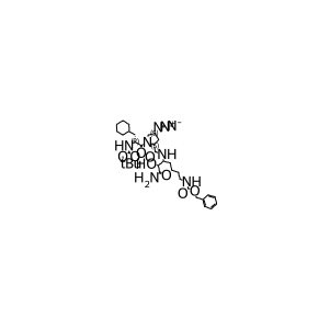 CC(C)(C)OC(=O)N[C@H](CC1CCCCC1)C(=O)N1C[C@@H](N=[N+]=[N-])C[C@H]1C(=O)NC(CCCCNC(=O)OCc1ccccc1)C(O)C(N)=O